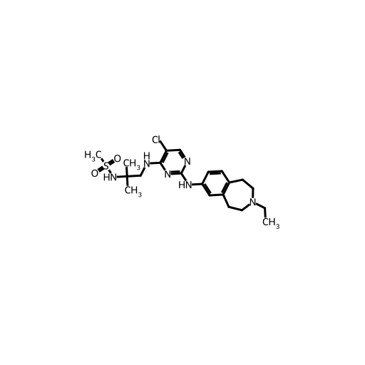 CCN1CCc2ccc(Nc3ncc(Cl)c(NCC(C)(C)NS(C)(=O)=O)n3)cc2CC1